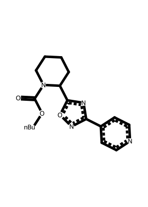 CCCCOC(=O)N1CCCCC1c1nc(-c2ccncc2)no1